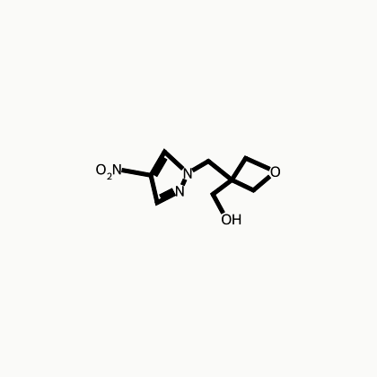 O=[N+]([O-])c1cnn(CC2(CO)COC2)c1